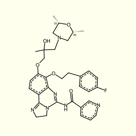 C[C@@H]1CN(CC(C)(O)COc2ccc3c(c2OCCc2ccc(F)cc2)N=C(NC(=O)c2cccnc2)N2CCN=C32)C[C@H](C)O1